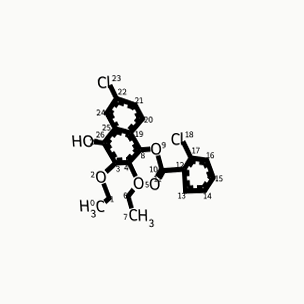 CCOc1c(OCC)c(OC(=O)c2ccccc2Cl)c2ccc(Cl)cc2c1O